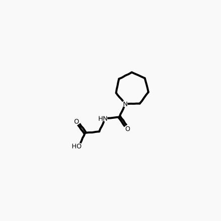 O=C(O)CNC(=O)N1CCCCCC1